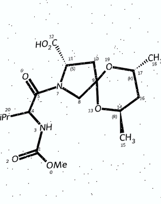 COC(=O)NC(C(=O)N1CC2(C[C@H]1C(=O)O)O[C@H](C)C[C@@H](C)O2)C(C)C